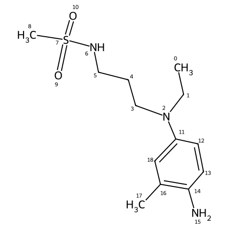 CCN(CCCNS(C)(=O)=O)c1ccc(N)c(C)c1